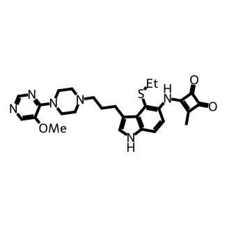 CCSc1c(Nc2c(C)c(=O)c2=O)ccc2[nH]cc(CCCN3CCN(c4ncncc4OC)CC3)c12